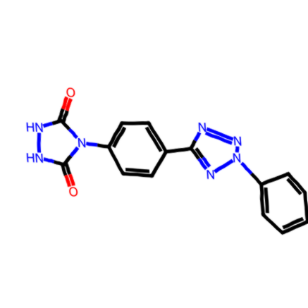 O=c1[nH][nH]c(=O)n1-c1ccc(-c2nnn(-c3ccccc3)n2)cc1